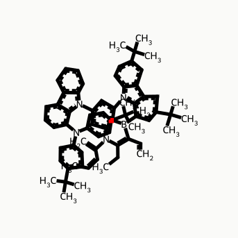 C=CC1=C(CC)N(C(=C)/C=C\C)c2cc(-n3c4ccccc4c4cccc(N(c5ccc(C(C)(C)C)cc5)c5ccc(C(C)(C)C)cc5)c43)cc3c2B1c1cc(C(C)(C)C)cc2c4cc(C(C)(C)C)ccc4n-3c12